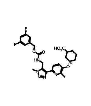 Cc1nc(-c2nnn(C)c2CNC(=O)OCc2cc(F)cc(F)c2)ccc1O[C@H]1CCCC(C(=O)O)C1